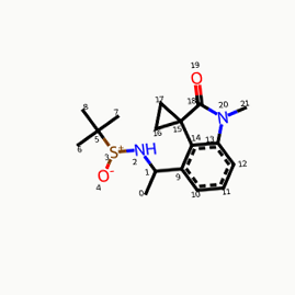 CC(N[S+]([O-])C(C)(C)C)c1cccc2c1C1(CC1)C(=O)N2C